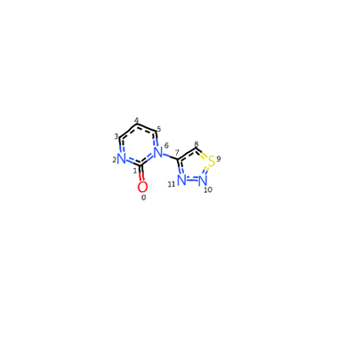 O=c1ncccn1-c1csnn1